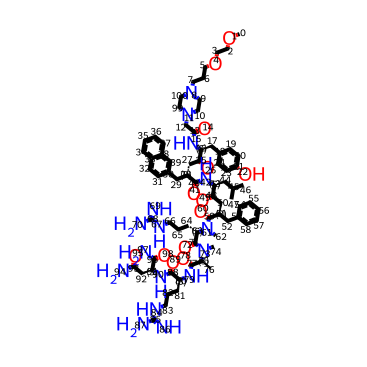 COCCOCCCN1CCN(CC(=O)N[C@@H](Cc2ccc(O)cc2)C(=O)C[C@@H](Cc2ccc3ccccc3c2)C(=O)N[C@@H](CC(C)C)C(=O)C[C@@H](Cc2ccccc2)C(=O)N(C)[C@@H](CCCNC(=N)N)C(=O)N(C)[C@@H](C)C(=O)N[C@@H](CCCNC(=N)N)C(=O)N[C@@H](CC(N)=O)C(N)=O)CC1